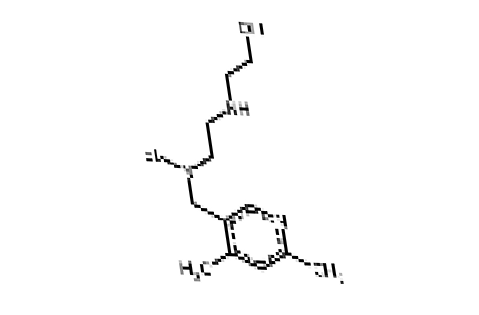 CCN(CCNCCO)Cc1cnc(C)cc1C